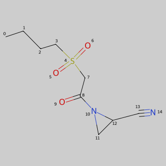 CCCCS(=O)(=O)CC(=O)N1CC1C#N